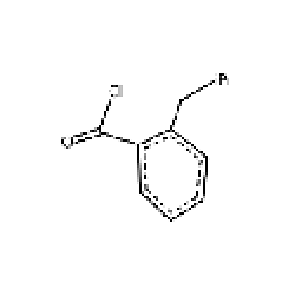 CC(C)Cc1ccccc1C(=O)Cl